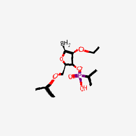 B[C@@H]1O[C@H](COC(C)C)C(OP(=O)(O)C(C)C)[C@@H]1OCC